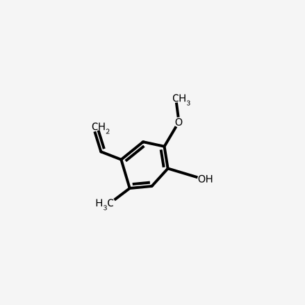 C=Cc1cc(OC)c(O)cc1C